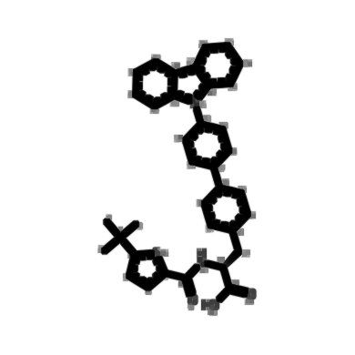 CC(C)(C)c1ccc(C(=O)N[C@@H](Cc2ccc(-c3ccc(-n4c5ccccc5c5ccccc54)cc3)cc2)C(=O)O)s1